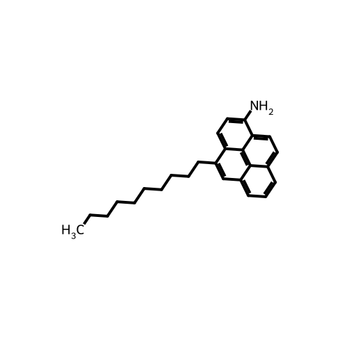 CCCCCCCCCCc1cc2cccc3ccc4c(N)ccc1c4c32